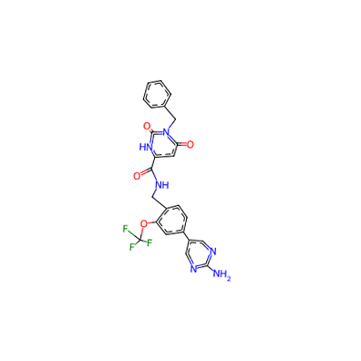 Nc1ncc(-c2ccc(CNC(=O)c3cc(=O)n(Cc4ccccc4)c(=O)[nH]3)c(OC(F)(F)F)c2)cn1